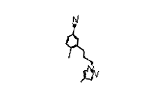 Cc1cnn(CCCc2cc(C#N)ccc2I)c1